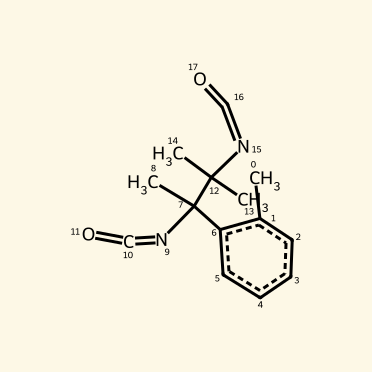 Cc1ccccc1C(C)(N=C=O)C(C)(C)N=C=O